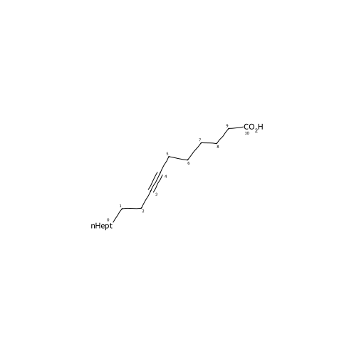 CCCCCCCCCC#CCCCCCC(=O)O